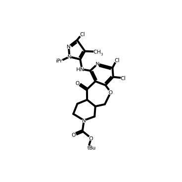 Cc1c(Cl)nn(C(C)C)c1Nc1nc(Cl)c(Cl)c2c1C(=O)C1CCN(C(=O)OC(C)(C)C)CC1CO2